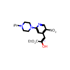 CCOC(=O)/C(O)=C\c1cc(N2CCN(C(C)C)CC2)ncc1[N+](=O)[O-]